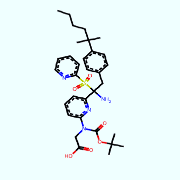 CCCCC(C)(C)c1ccc(CC(N)(c2cccc(N(CC(=O)O)C(=O)OC(C)(C)C)n2)S(=O)(=O)c2ccccn2)cc1